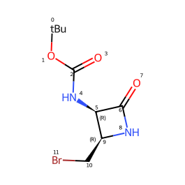 CC(C)(C)OC(=O)N[C@H]1C(=O)N[C@H]1CBr